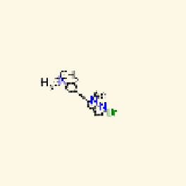 CC(=O)n1c(C#Cc2ccc(N(C)C)cc2)cc2ccc(Br)nc21